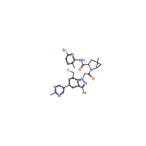 CC(=O)c1nn(CC(=O)N2C(C(=O)Nc3nc(Br)ccc3C)CC3(C)CC23)c2c(CF)cc(-c3cnc(C)nc3)cc12